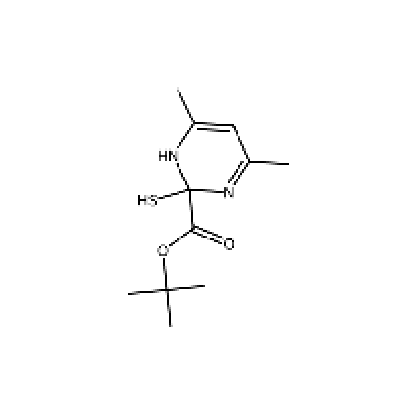 CC1=CC(C)=NC(S)(C(=O)OC(C)(C)C)N1